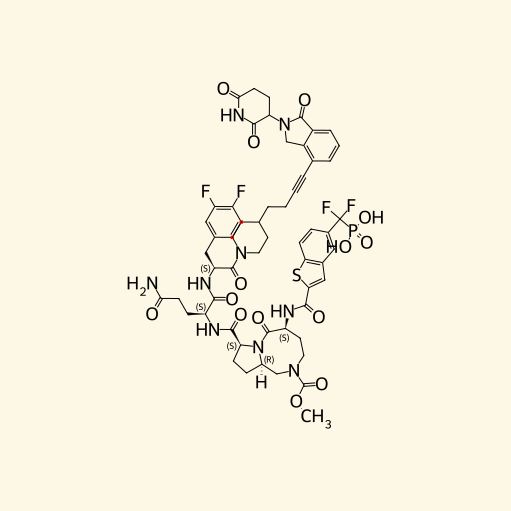 COC(=O)N1CC[C@H](NC(=O)c2cc3cc(C(F)(F)P(=O)(O)O)ccc3s2)C(=O)N2[C@H](CC[C@H]2C(=O)N[C@@H](CCC(N)=O)C(=O)N[C@@H](Cc2ccc(F)c(F)c2)C(=O)N2CCC(CCC#Cc3cccc4c3CN(C3CCC(=O)NC3=O)C4=O)CC2)C1